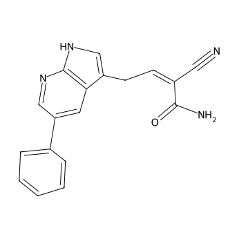 N#CC(=CCc1c[nH]c2ncc(-c3ccccc3)cc12)C(N)=O